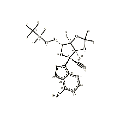 CC1(C)O[C@@H]2[C@@H](CO[Si](C)(C)C(C)(C)C)O[C@@](C#N)(c3ccc4c(N)ncnn34)[C@]2(C)O1